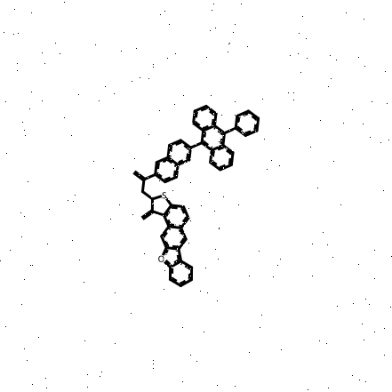 C=C(CC1Sc2ccc3cc4c(cc3c2C1=C)oc1ccccc14)c1ccc2cc(-c3c4ccccc4c(-c4ccccc4)c4ccccc34)ccc2c1